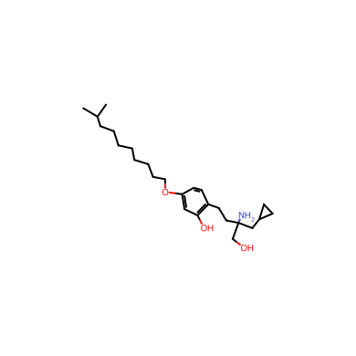 CC(C)CCCCCCCCOc1ccc(CC[C@@](N)(CO)CC2CC2)c(O)c1